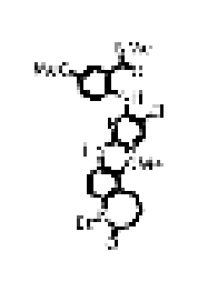 CCN1C(=O)CCCc2c1ccc(Nc1ncc(Cl)c(Nc3ccc(OC)cc3C(=O)NC)n1)c2OC